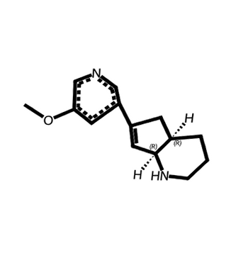 COc1cncc(C2=C[C@@H]3NCCC[C@@H]3C2)c1